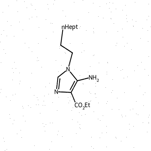 CCCCCCCCCn1cnc(C(=O)OCC)c1N